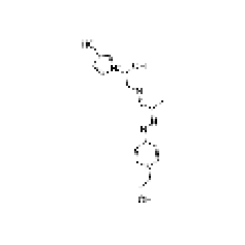 CC(N=NCC(O)[n+]1ccn(O)c1)=NN=c1ccn(CCO)cc1